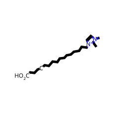 Cc1n(C)cc[n+]1CCCCCCCCCCCCCCCCC(=O)O